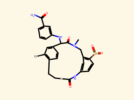 CCc1cc2ccc1CCCC(=O)Nc1ccc([SH](=O)=O)c(c1)CN(C)C(=O)C2Nc1cccc(C(N)=O)c1